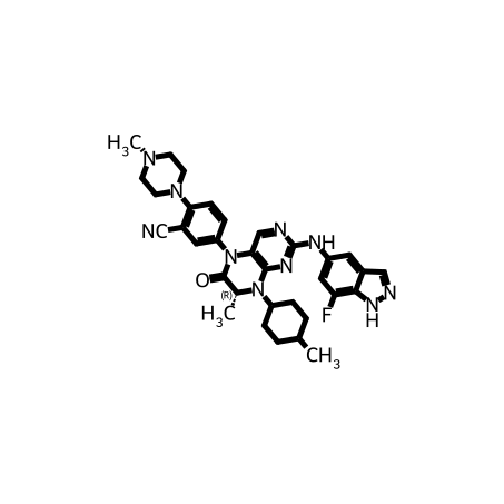 CC1CCC(N2c3nc(Nc4cc(F)c5[nH]ncc5c4)ncc3N(c3ccc(N4CCN(C)CC4)c(C#N)c3)C(=O)[C@H]2C)CC1